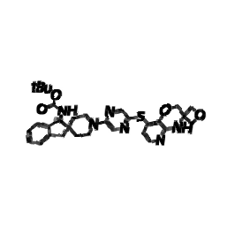 CC(C)(C)OC(=O)N[C@@H]1c2ccccc2CC12CCN(c1cnc(Sc3ccnc4c3OCC3(COC3)N4)cn1)CC2